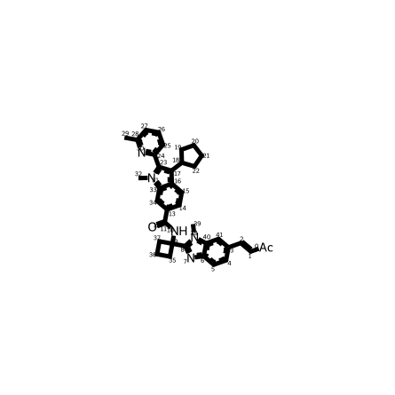 CC(=O)/C=C/c1ccc2nc(C3(NC(=O)c4ccc5c(C6CCCC6)c(-c6cccc(C)n6)n(C)c5c4)CCC3)n(C)c2c1